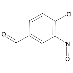 O=Cc1ccc(Cl)c(N=O)c1